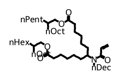 C=CC(=O)N(CCCCCCCCCC)C(CCCCCC(=O)OCC(CCCCC)CCCCCCCC)CCCCCC(=O)OCC(CCCCCC)CCCCCCCC